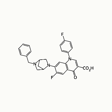 O=C(O)c1cn(-c2ccc(F)cc2)c2cc(N3CC4CC3CN4Cc3ccccc3)c(F)cc2c1=O